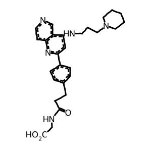 O=C(O)CNC(=O)CCc1ccc(-c2cc(NCCCN3CCCCC3)c3cnccc3n2)cc1